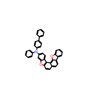 c1ccc(-c2ccc(N(c3ccccc3)c3ccc4c(c3)oc3ccc5ccc6c7ccccc7oc6c5c34)cc2)cc1